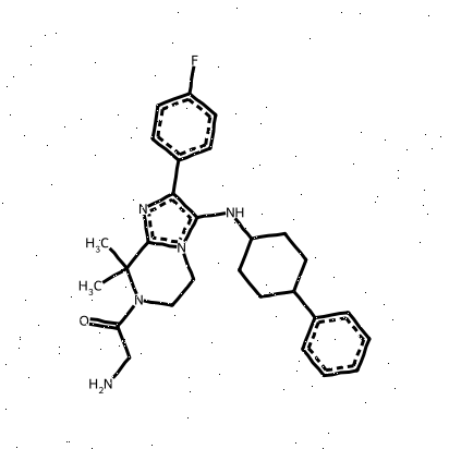 CC1(C)c2nc(-c3ccc(F)cc3)c(NC3CCC(c4ccccc4)CC3)n2CCN1C(=O)CN